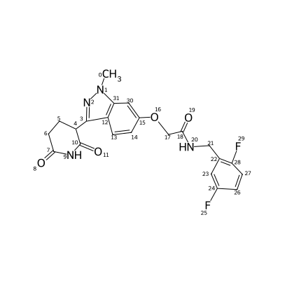 Cn1nc(C2CCC(=O)NC2=O)c2ccc(OCC(=O)NCc3cc(F)ccc3F)cc21